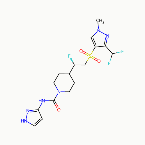 Cn1cc(S(=O)(=O)C[C@H](F)C2CCN(C(=O)Nc3cc[nH]n3)CC2)c(C(F)F)n1